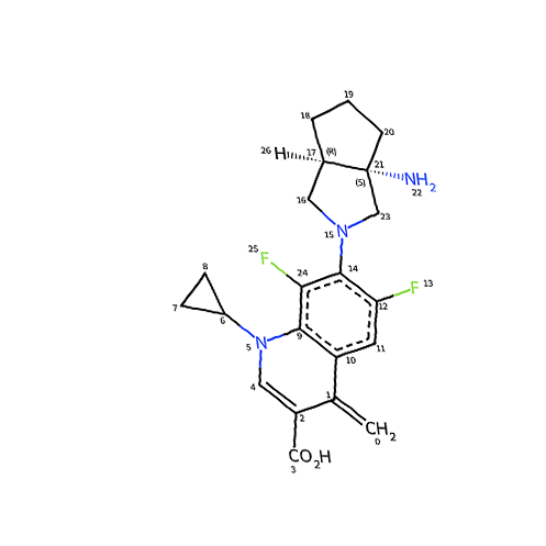 C=C1C(C(=O)O)=CN(C2CC2)c2c1cc(F)c(N1C[C@H]3CCC[C@@]3(N)C1)c2F